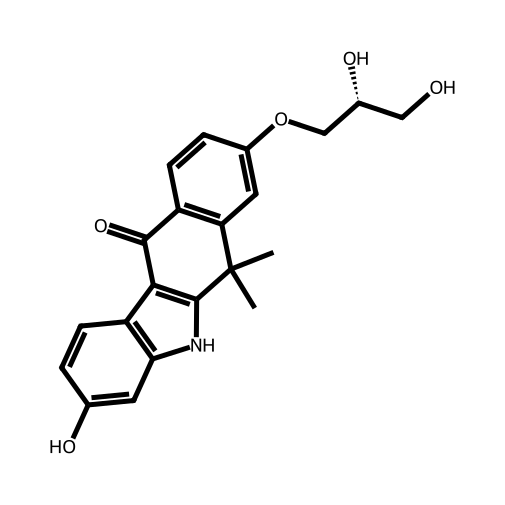 CC1(C)c2cc(OC[C@H](O)CO)ccc2C(=O)c2c1[nH]c1cc(O)ccc21